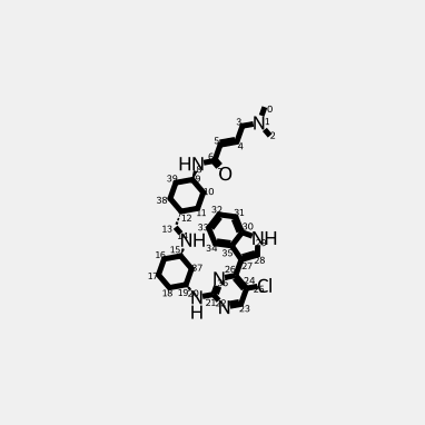 CN(C)C/C=C/C(=O)N[C@H]1CC[C@H](CN[C@H]2CCC[C@@H](Nc3ncc(Cl)c(-c4c[nH]c5ccccc45)n3)C2)CC1